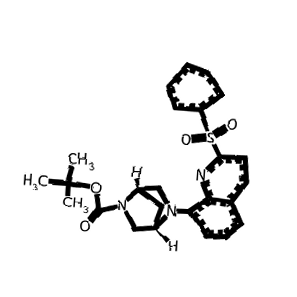 CC(C)(C)OC(=O)N1C[C@@H]2C[C@H]1CN2c1cccc2ccc(S(=O)(=O)c3ccccc3)nc12